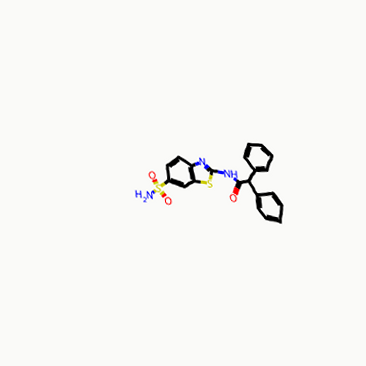 NS(=O)(=O)c1ccc2nc(NC(=O)C(c3ccccc3)c3ccccc3)sc2c1